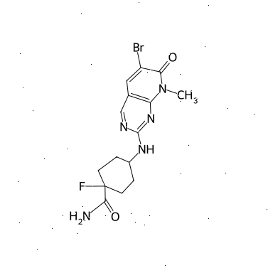 Cn1c(=O)c(Br)cc2cnc(NC3CCC(F)(C(N)=O)CC3)nc21